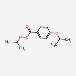 C[C](C)OOC(=O)c1ccc(OC(C)C)cc1